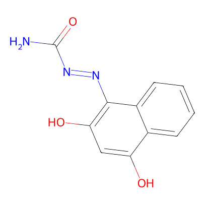 NC(=O)N=Nc1c(O)cc(O)c2ccccc12